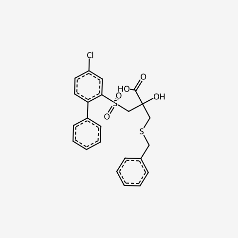 O=C(O)C(O)(CSCc1ccccc1)CS(=O)(=O)c1cc(Cl)ccc1-c1ccccc1